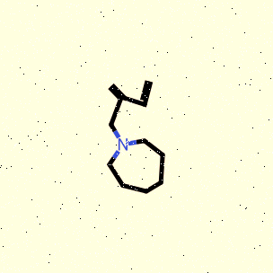 C=CC(=C)CN1CCCCCC1